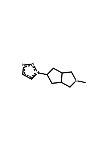 CN1CC2CC(n3ccnn3)CC2C1